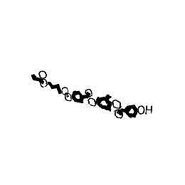 C=CC(=O)OCCCCOOc1ccc(C(=O)Oc2ccc(OC(=O)c3ccc(O)cc3)c(C)c2)cc1